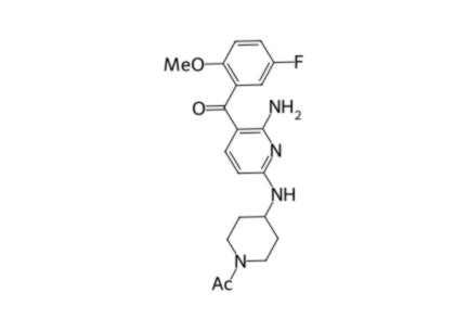 COc1ccc(F)cc1C(=O)c1ccc(NC2CCN(C(C)=O)CC2)nc1N